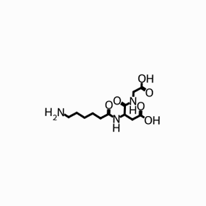 NCCCCCC(=O)NC(CC(=O)O)C(=O)NCC(=O)O